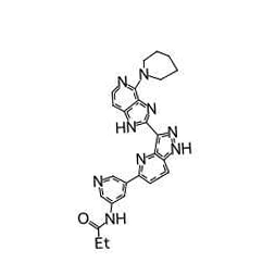 CCC(=O)Nc1cncc(-c2ccc3[nH]nc(-c4nc5c(N6CCCCC6)nccc5[nH]4)c3n2)c1